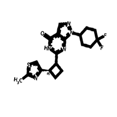 Cc1nc([C@@H]2CCC2c2nc3c(cnn3C3CCC(F)(F)CC3)c(=O)[nH]2)cs1